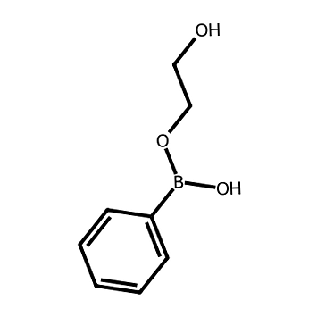 OCCOB(O)c1ccccc1